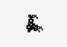 CSC1=NC2(CC3(CCN(C(C)=O)CC3)Oc3ccc(Br)cc32)C(=O)N1C